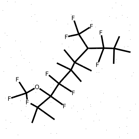 CC(C)(C)C(F)(F)C(C(F)(F)F)C(C)(C)C(C)(C)C(F)(F)C(F)(OC(F)(F)F)C(C)(C)C